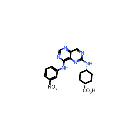 O=C(O)[C@H]1CC[C@H](Nc2ncc3ncnc(Nc4cccc([N+](=O)[O-])c4)c3n2)CC1